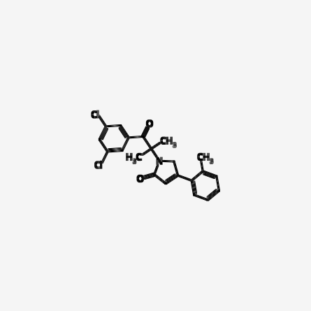 Cc1ccccc1C1=CC(=O)N(C(C)(C)C(=O)c2cc(Cl)cc(Cl)c2)C1